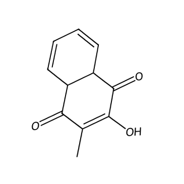 CC1=C(O)C(=O)C2C=CC=CC2C1=O